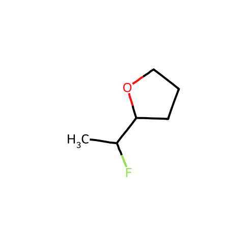 CC(F)C1CCCO1